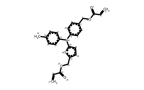 C=CC(=O)OCc1ccc(N(c2ccc(C)cc2)c2ccc(COC(=O)C=C)s2)cc1